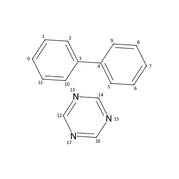 c1ccc(-c2ccccc2)cc1.c1ncncn1